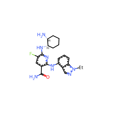 CCn1ncc2c(Nc3nc(N[C@H]4CCCC[C@H]4N)c(F)cc3C(N)=O)cccc21